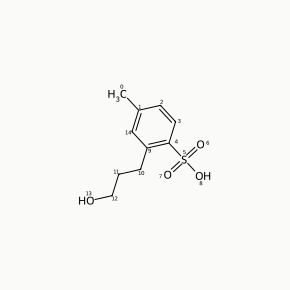 Cc1ccc(S(=O)(=O)O)c(CCCO)c1